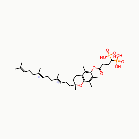 CC(C)=CCC/C(C)=C/CC/C(C)=C/CCC1(C)CCc2c(C)c(OC(=O)CCC(P(=O)(O)O)P(=O)(O)O)c(C)c(C)c2O1